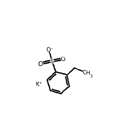 CCc1ccccc1S(=O)(=O)[O-].[K+]